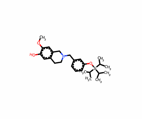 COc1cc2c(cc1O)CCN(Cc1cccc(O[Si](C(C)C)(C(C)C)C(C)C)c1)C2